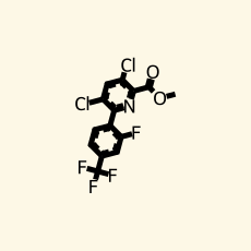 COC(=O)c1nc(-c2ccc(C(F)(F)F)cc2F)c(Cl)cc1Cl